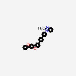 Cc1nc2ccccc2n1-c1ccc(-c2ccc(-c3ccc4oc5cc6c(cc5c4c3)oc3ccccc36)cc2)cc1